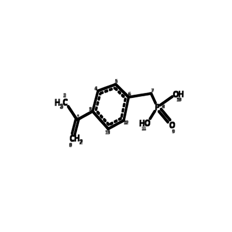 C=C(C)c1ccc(CP(=O)(O)O)cc1